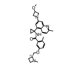 COC1CN(c2cc(C3(NC(=O)c4cc(OC[C@@H]5CCN5C)ccc4C)CC3)c3ccc(C)nc3c2)C1